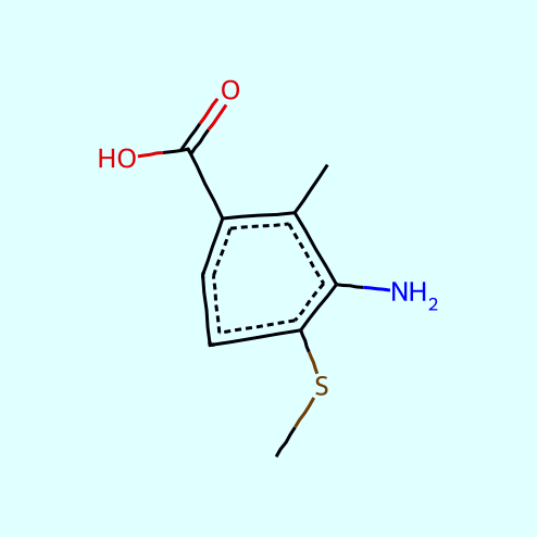 CSc1ccc(C(=O)O)c(C)c1N